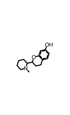 CN1CCCCC1C1CCc2ccc(O)cc2O1